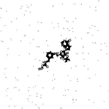 CC(C)(C)OC(=O)NCc1cccc(NC[C@H]2O[C@@H](n3ccc4c(Cl)ncnc43)[C@@H]3OC(C)(C)O[C@]23C)c1